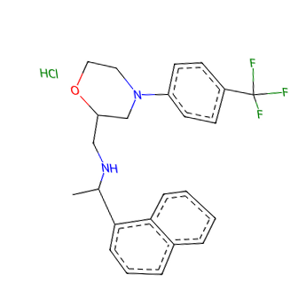 CC(NCC1CN(c2ccc(C(F)(F)F)cc2)CCO1)c1cccc2ccccc12.Cl